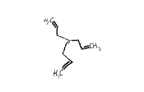 C=C[CH2][Ir]([CH2]C=C)[CH2]C=C